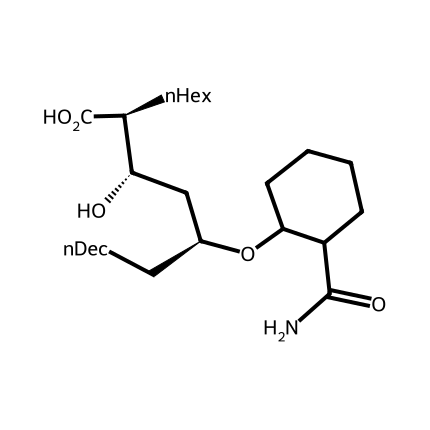 CCCCCCCCCCC[C@@H](C[C@H](O)[C@H](CCCCCC)C(=O)O)OC1CCCCC1C(N)=O